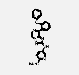 COc1ccc(Nc2nc3c(-c4ccccc4Oc4ccccc4)nccn3n2)cn1